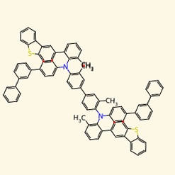 Cc1cc(-c2ccc(N(c3ccc(-c4cccc(-c5ccccc5)c4)cc3)c3c(C)cccc3-c3ccc4sc5ccccc5c4c3)c(C)c2)ccc1N(c1ccc(-c2cccc(-c3ccccc3)c2)cc1)c1c(C)cccc1-c1ccc2sc3ccccc3c2c1